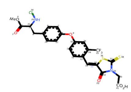 COC(=O)[C@H](Cc1ccc(Oc2ccc(/C=C3\SC(=S)N(CC(=O)O)C3=O)c(C(F)(F)F)c2)cc1)NCl